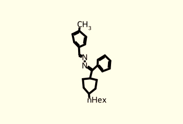 CCCCCCC1CCC(C(=NN=Cc2ccc(C)cc2)c2ccccc2)CC1